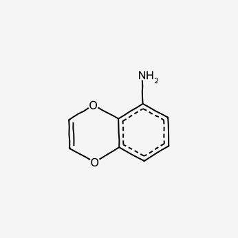 Nc1cccc2c1OC=CO2